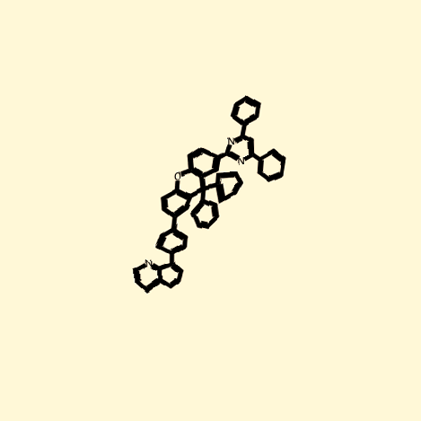 c1ccc(-c2cc(-c3ccccc3)nc(-c3ccc4c(c3)C(c3ccccc3)(c3ccccc3)c3cc(-c5ccc(-c6cccc7cccnc67)cc5)ccc3O4)n2)cc1